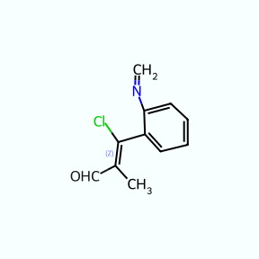 C=Nc1ccccc1/C(Cl)=C(\C)C=O